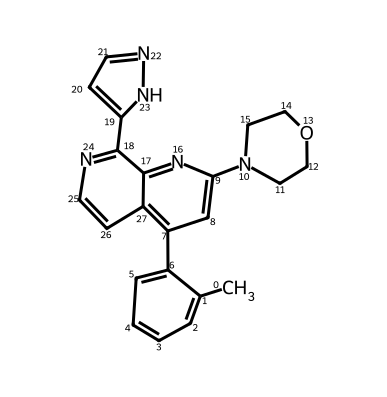 Cc1ccccc1-c1cc(N2CCOCC2)nc2c(-c3ccn[nH]3)nccc12